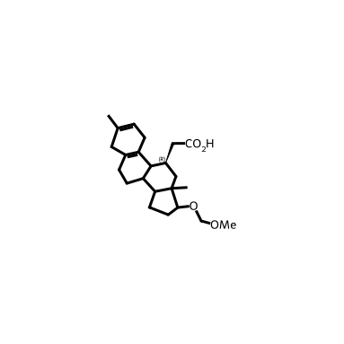 COCOC1CCC2C3CCC4=C(CC=C(C)C4)C3[C@@H](CC(=O)O)CC12C